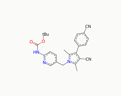 Cc1c(C#N)c(-c2ccc(C#N)cc2)c(C)n1Cc1ccc(NC(=O)OC(C)(C)C)nc1